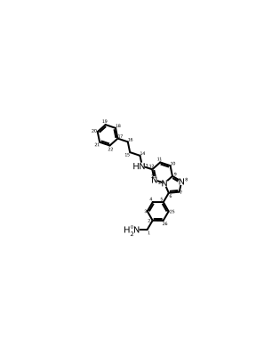 NCc1ccc(-c2cnc3ccc(NCCCc4ccccc4)nn23)cc1